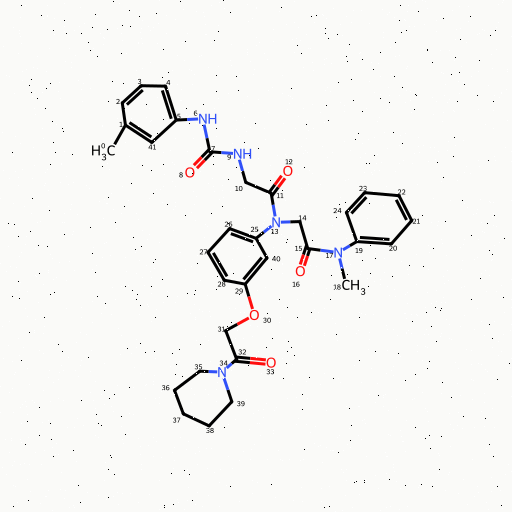 Cc1cccc(NC(=O)NCC(=O)N(CC(=O)N(C)c2ccccc2)c2cccc(OCC(=O)N3CCCCC3)c2)c1